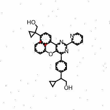 OCC(c1ccc(-c2nc(-c3ccccn3)nc(-c3ccc(C4(CO)CC4)cc3)c2Oc2ccccc2)cc1)C1CC1